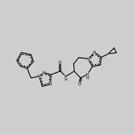 O=C(NC1CCn2nc(C3CC3)cc2NC1=O)c1ncn(Cc2ccccc2)n1